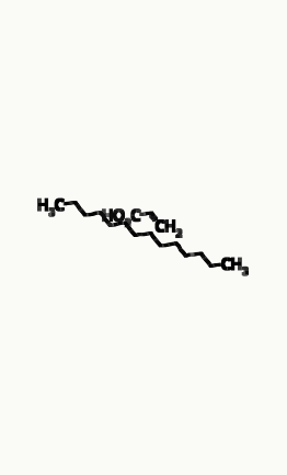 C=CC(=O)O.CCCCCCCCCCCCCC